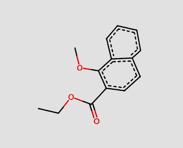 CCOC(=O)c1ccc2ccccc2c1OC